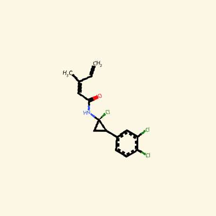 C=CC(C)=CC(=O)N[C@@]1(Cl)CC1c1ccc(Cl)c(Cl)c1